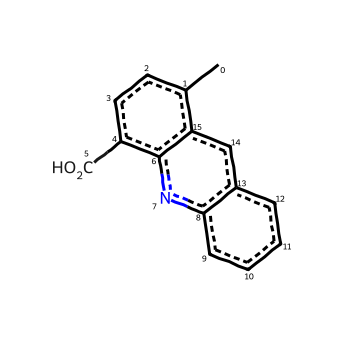 Cc1ccc(C(=O)O)c2nc3ccccc3cc12